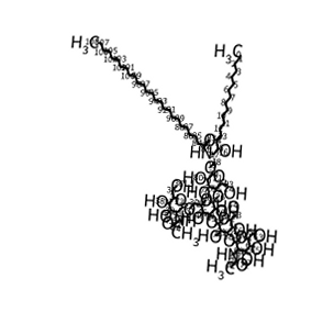 CCCCCCCCCCCCC/C=C/[C@@H](O)[C@H](CO[C@@H]1OC(CO)[C@@H](O[C@@H]2OC(CO[C@@H]3OC(CO)[C@@H](O)[C@H](O)C3NC(C)=O)[C@H](O)[C@H](O[C@H]3OC(CO)[C@H](O)[C@H](O[C@@H]4OC(CO)[C@H](O)[C@H](O)C4NC(C)=O)C3O)C2O)[C@H](O)C1O)NC(=O)CCCCCCCCCCCCCCCCCCCCCCCCC